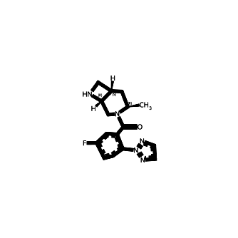 C[C@@H]1C[C@H]2CN[C@H]2CN1C(=O)c1cc(F)ccc1-n1nccn1